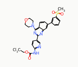 CS(=O)(=O)c1cccc(-c2ccc3c(N4CCOCC4)nc(-c4ccc(NC(=O)OCC(Cl)(Cl)Cl)nc4)nc3c2)c1